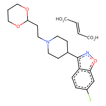 Fc1ccc2c(C3CCN(CCC4OCCCO4)CC3)noc2c1.O=C(O)C=CC(=O)O